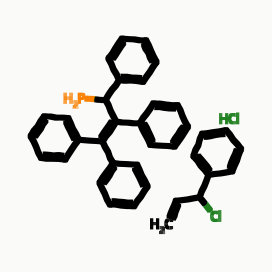 C=CC(Cl)c1ccccc1.Cl.PC(C(=C(c1ccccc1)c1ccccc1)c1ccccc1)c1ccccc1